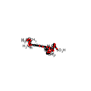 Cc1nn(-c2ccc(C(N)=O)c(NCCCOCCOCCOCCOCCOCCCNCc3ccc(C4=C(/C=C/C5=[N+](CCCCS(=O)(=O)[O-])c6ccccc6C5(C)C)CCC/C4=C\C=C4\N(CCCCS(=O)(=O)O)c5ccccc5C4(C)C)cc3)c2)c2c1C(=O)CC(C)(C)C2